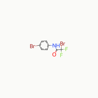 O=C(Nc1ccc(Br)cc1)C(F)(F)Br